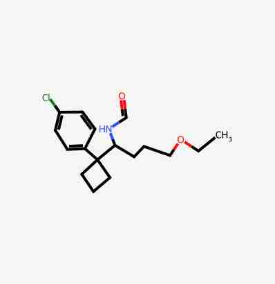 CCOCCCC(NC=O)C1(c2ccc(Cl)cc2)CCC1